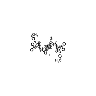 COc1ccc(COc2cn(OC(c3ccccc3)c3ccccc3)c(CNC(=O)[C@@H]3C=C(C)[C@@H]4CN3C(=O)N4OS(=O)(=O)ON3C(=O)N4C[C@H]3C(C)=C[C@H]4C(=O)NCc3cc(=O)c(OCc4ccc(OC)cc4)cn3OC(c3ccccc3)c3ccccc3)cc2=O)cc1